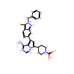 Cc1c2ccc(-c3cc(C4CCN(C(=O)O)CC4)n4ncnc(N)c34)cc2nn1Cc1ccccc1